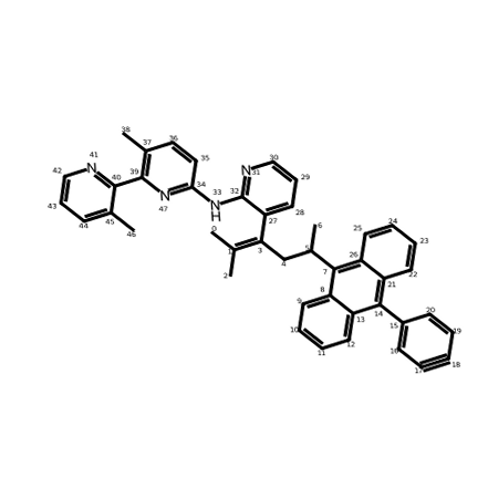 CC(C)=C(CC(C)c1c2ccccc2c(-c2cc#ccc2)c2ccccc12)c1cccnc1Nc1ccc(C)c(-c2ncccc2C)n1